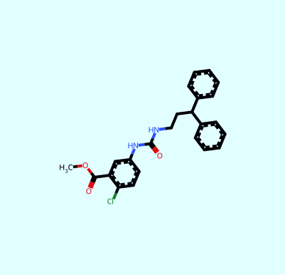 COC(=O)c1cc(NC(=O)NCCC(c2ccccc2)c2ccccc2)ccc1Cl